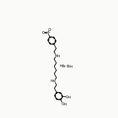 Br.Br.O=[N+]([O-])c1ccc(CCNCCCCCCNCCc2ccc(O)c(O)c2)cc1